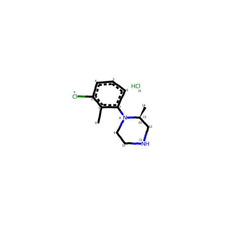 Cc1c(Cl)cccc1N1CCNC[C@@H]1C.Cl